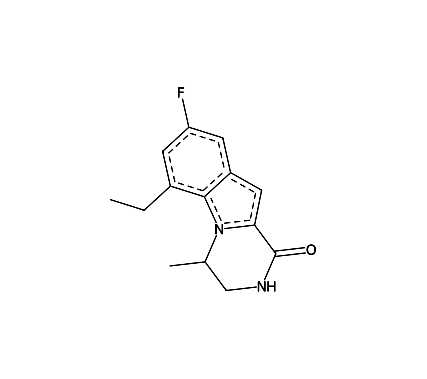 CCc1cc(F)cc2cc3n(c12)C(C)CNC3=O